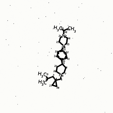 CC(C)CC1(CN2CCC(c3ccc(N4CCN(C(C)C)CC4)cc3)CC2)CC1